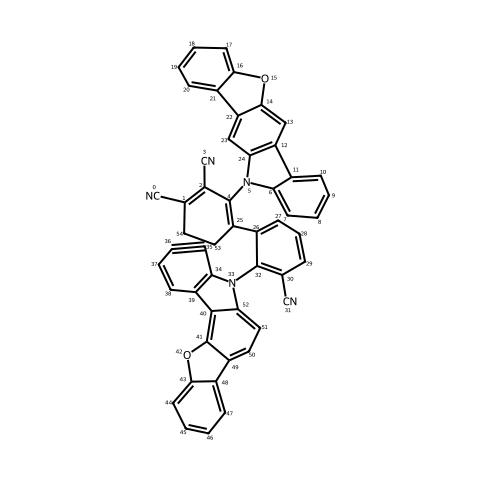 N#CC1=C(C#N)C(n2c3ccccc3c3cc4oc5ccccc5c4cc32)=C(c2cccc(C#N)c2-n2c3c#cccc3c3c4oc5ccccc5c4ccc32)CC1